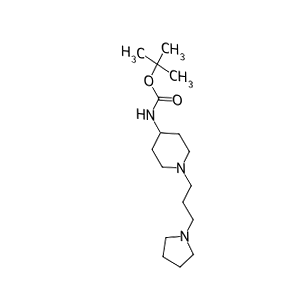 CC(C)(C)OC(=O)NC1CCN(CCCN2CCCC2)CC1